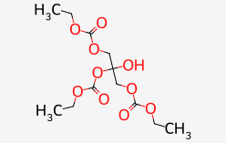 CCOC(=O)OCC(O)(COC(=O)OCC)OC(=O)OCC